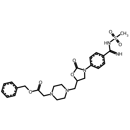 CS(=O)(=O)NC(=N)c1ccc(N2CC(CN3CCN(CC(=O)OCc4ccccc4)CC3)OC2=O)cc1